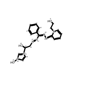 OCCn1ccccc1=NN=C(N=NCC(O)[n+]1ccn(O)c1)c1ccccc1